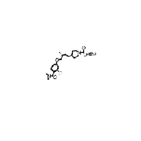 C[C@H](CCC1CCN(C(=O)OC(C)(C)C)CC1)COc1ccc(C(=O)N(C)C)c(Cl)c1